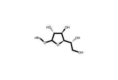 CCCCOC1O[C@H]([C@H](O)CO)[C@H](O)[C@H]1O